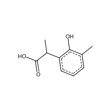 Cc1cccc(C(C)C(=O)O)c1O